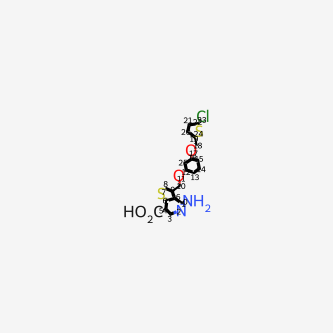 Nc1ncc(C(=O)O)c2scc(COc3cccc(OCc4ccc(Cl)s4)c3)c12